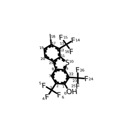 Oc1c(C(F)(F)F)cc2c(sc3c(C(F)(F)F)c(I)ccc32)c1C(F)(F)F